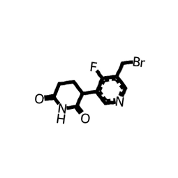 O=C1CCC(c2cncc(CBr)c2F)C(=O)N1